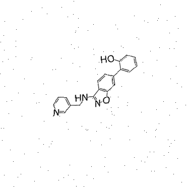 Oc1ccccc1-c1ccc2c(NCc3cccnc3)noc2c1